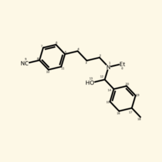 CCN(CCCc1ccc(C#N)cc1)C(O)C1=CCC(C)C=C1